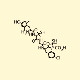 Cc1cc(O)cc(C)c1C[C@H](N)C(=O)N[C@@H](C(=O)NCC(=O)N[C@H](Cc1ccc(Cl)cc1)C(=O)N[C@@H](C(=O)O)C(C)(C)S)C(C)(C)S